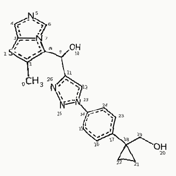 Cc1sc2cncn2c1C(O)c1cn(-c2ccc(C3(CO)CC3)cc2)nn1